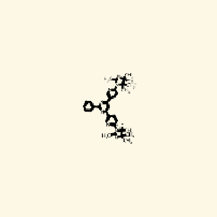 CC1=NC(C)(C)C(C)(C)N1c1ccc(-c2cc(-c3ccc(N4C(C)=NC(C)(C)C4(C)C)nc3)nc(-c3ccccc3)n2)cn1